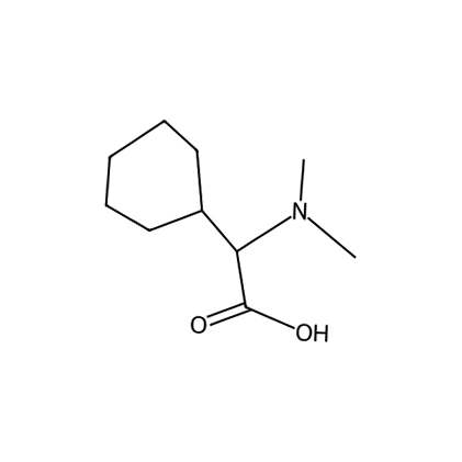 CN(C)C(C(=O)O)C1CCCCC1